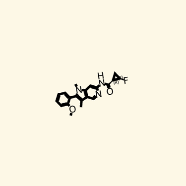 COc1ccccc1-c1c(C)c2cnc(NC(=O)[C@H]3C[C@H]3F)cc2n1C